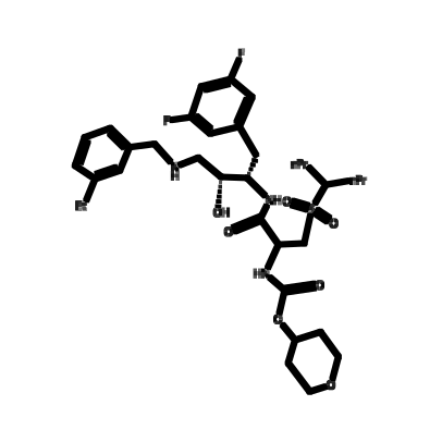 CCCC(CCC)S(=O)(=O)CC(NC(=O)OC1CCOCC1)C(=O)N[C@@H](Cc1cc(F)cc(F)c1)[C@H](O)CNCc1cccc(CC)c1